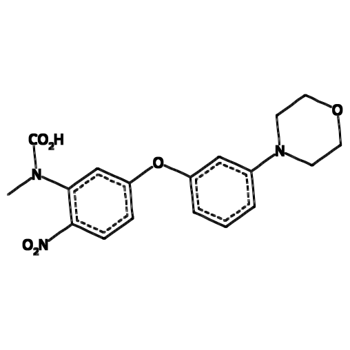 CN(C(=O)O)c1cc(Oc2cccc(N3CCOCC3)c2)ccc1[N+](=O)[O-]